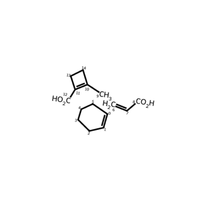 C1=CCCCC1.C=CC(=O)O.CC1=C(C(=O)O)CC1